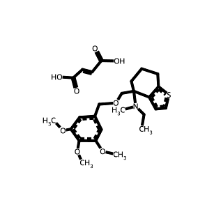 CCN(C)C1(COCc2cc(OC)c(OC)c(OC)c2)CCCc2sccc21.O=C(O)/C=C/C(=O)O